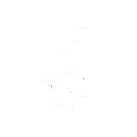 CCOCCOCCOc1ccc(CC(C(=O)[O-])N2CCN(CC(=O)[O-])CCN(C(CC)C(=O)O)CCN(CC(=O)[O-])CC2)cc1.[Gd+3]